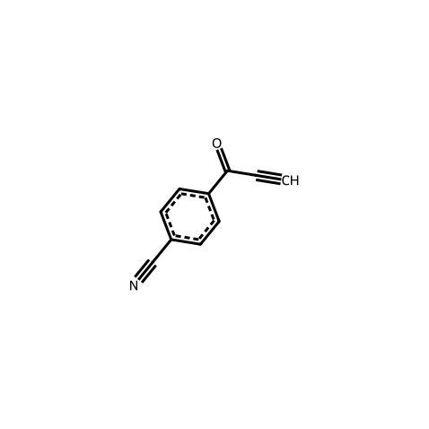 C#CC(=O)c1ccc(C#N)cc1